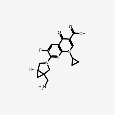 NCC12C[C@H]1CN(c1nc3c(cc1F)c(=O)c(C(=O)O)cn3C1CC1)C2